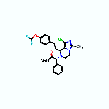 CNC(=O)[C@@H](c1ccccc1)N1CCn2c(C)nc(Cl)c2[C@@H]1CCc1ccc(OC(F)F)cc1